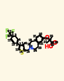 Cc1c(C2=CCC(C(F)(F)F)C=C2)csc1CN1CCc2ccc(OC(C)(C)C(=O)O)cc2CC1